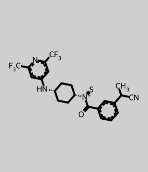 CC(C#N)c1cccc(C(=O)[N+](=S)[C@H]2CC[C@@H](Nc3cc(C(F)(F)F)nc(C(F)(F)F)c3)CC2)c1